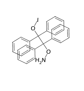 NOC(c1ccccc1)(c1ccccc1)C(OI)(c1ccccc1)c1ccccc1